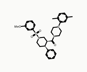 COc1cccc(S(=O)(=O)N2CC[C@H](c3ccccc3)[C@H](C(=O)N3CCN(c4cc(C)ccc4C)CC3)C2)c1